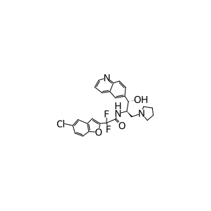 O=C(N[C@H](CN1CCCC1)[C@@H](O)c1ccc2ncccc2c1)C(F)(F)c1cc2cc(Cl)ccc2o1